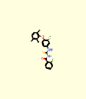 Cc1ccc(C)c(Oc2ccc(NC(=S)NC(=O)c3ccccc3Cl)cc2Cl)c1C